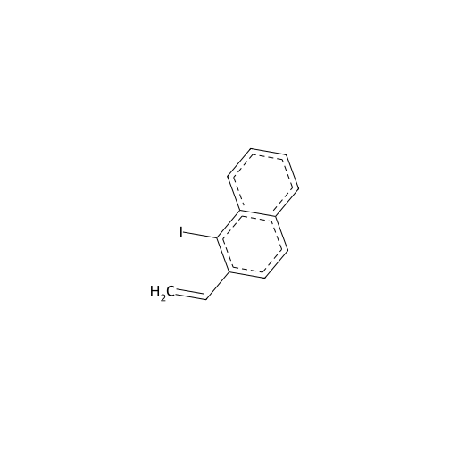 C=Cc1ccc2ccccc2c1I